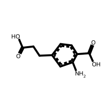 Nc1cc(CCC(=O)O)ccc1C(=O)O